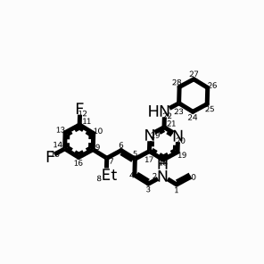 C=CN/C=C\C(=C/C(CC)c1cc(F)cc(F)c1)c1ccnc(NC2CCCCC2)n1